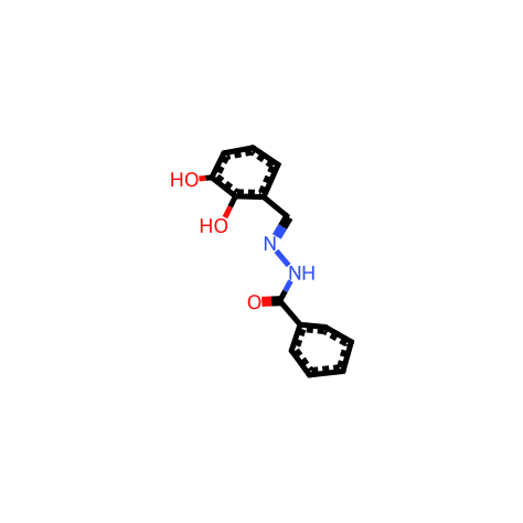 O=C(N/N=C/c1cccc(O)c1O)c1ccccc1